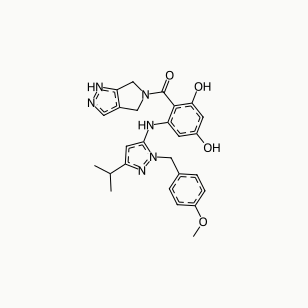 COc1ccc(Cn2nc(C(C)C)cc2Nc2cc(O)cc(O)c2C(=O)N2Cc3cn[nH]c3C2)cc1